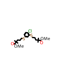 COC(=O)C(C)(C)CCCSc1ccc(Cl)c(SCCCC(C)(C)C(=O)OC)c1